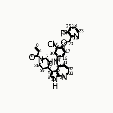 C=CC(=O)N1CCC(c2c[nH]c3c2C(Nc2ccc(OCc4ncccc4F)c(Cl)c2)=C=CC=N3)CC1